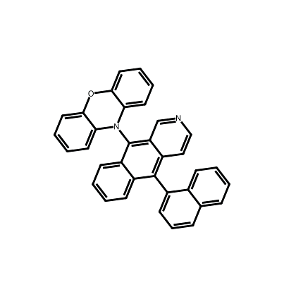 c1ccc2c(c1)Oc1ccccc1N2c1c2ccccc2c(-c2cccc3ccccc23)c2ccncc12